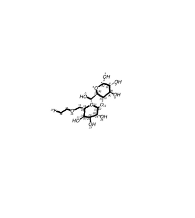 OC[C@H]1O[C@H](O)[C@H](O)[C@@H](O)[C@@H]1O[C@@H]1O[C@H](COCCF)[C@H](O)[C@H](O)[C@H]1O